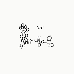 CC(C)(C)OC(=O)NC(CCCCNC(=O)OCC1c2ccccc2-c2ccccc21)C(=O)ON1C(=O)CC(S(=O)(=O)[O-])C1=O.[Na+]